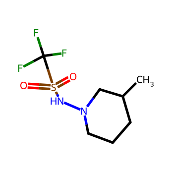 CC1CCCN(NS(=O)(=O)C(F)(F)F)C1